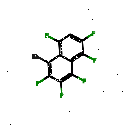 [CH2]Cc1c(F)c(F)c(F)c2c(F)c(F)cc(F)c12